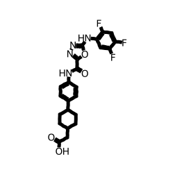 O=C(O)CC1CCC(c2ccc(NC(=O)c3nnc(Nc4cc(F)c(F)cc4F)o3)cc2)CC1